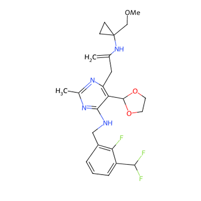 C=C(Cc1nc(C)nc(NCc2cccc(C(F)F)c2F)c1C1OCCO1)NC1(COC)CC1